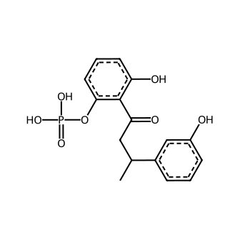 CC(CC(=O)c1c(O)cccc1OP(=O)(O)O)c1cccc(O)c1